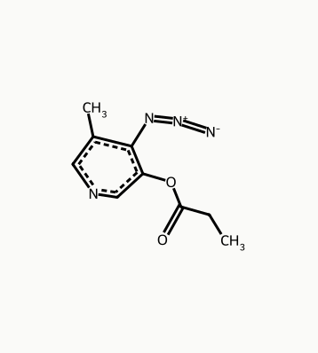 CCC(=O)Oc1cncc(C)c1N=[N+]=[N-]